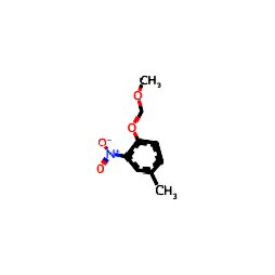 COCOc1ccc(C)cc1[N+](=O)[O-]